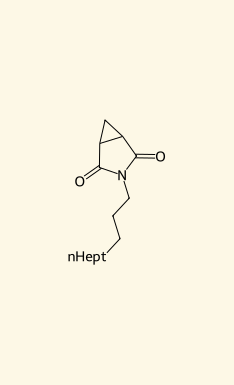 CCCCCCCCCCN1C(=O)C2CC2C1=O